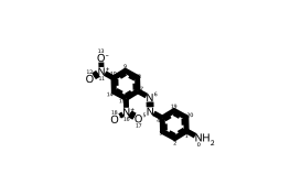 Nc1ccc(N=Nc2ccc([N+](=O)[O-])cc2[N+](=O)[O-])cc1